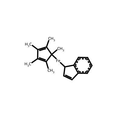 CC1=C(C)[C](C)([Fe][CH]2C=Cc3ccccc32)C(C)=C1C